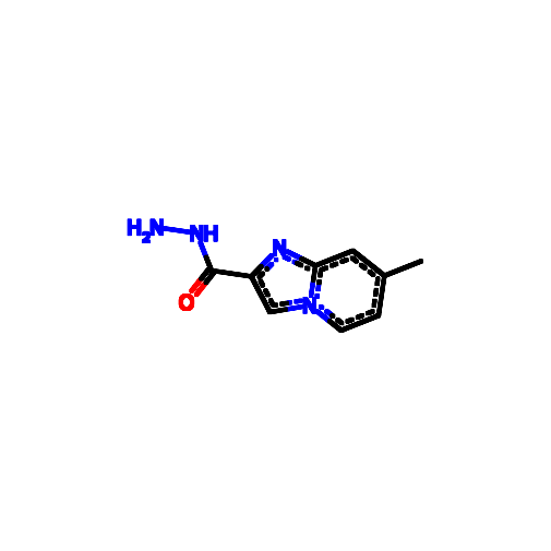 Cc1ccn2cc(C(=O)NN)nc2c1